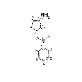 CN(CC1CN=C(N)O1)c1ccccc1